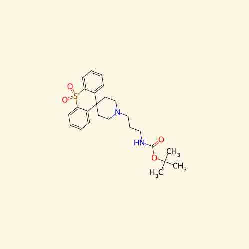 CC(C)(C)OC(=O)NCCCN1CCC2(CC1)c1ccccc1S(=O)(=O)c1ccccc12